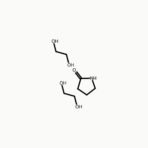 O=C1CCCN1.OCCO.OCCO